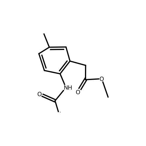 [CH2]C(=O)Nc1ccc(C)cc1CC(=O)OC